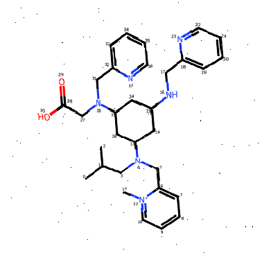 CC(C)CN(Cc1cccc[n+]1C)C1CC(NCc2ccccn2)CC(N(CC(=O)O)Cc2ccccn2)C1